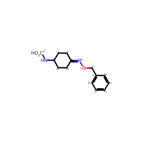 O=C(O)NC1CCC(=NOCc2ccccc2)CC1